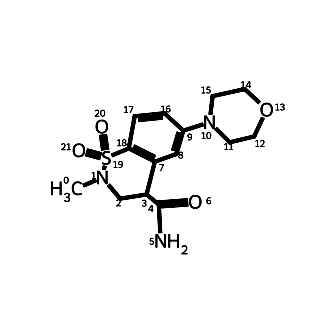 CN1CC(C(N)=O)c2cc(N3CCOCC3)ccc2S1(=O)=O